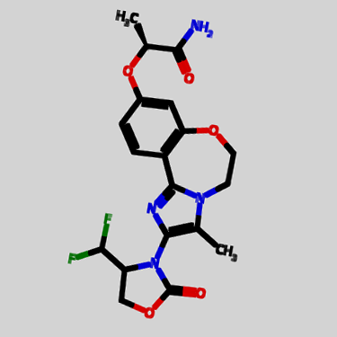 Cc1c(N2C(=O)OCC2C(F)F)nc2n1CCOc1cc(O[C@@H](C)C(N)=O)ccc1-2